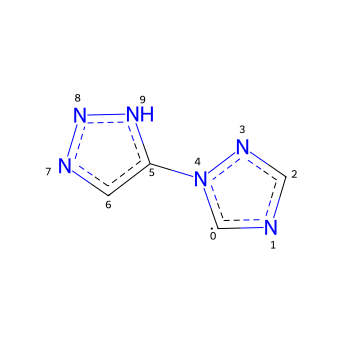 [c]1ncnn1-c1cnn[nH]1